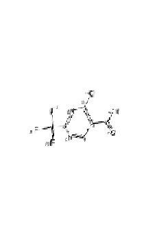 O=C(Cl)c1cnc(C(F)(F)F)nc1Cl